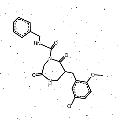 COc1ccc(Cl)cc1CC1CNC(=O)CN(C(=O)NCc2ccccc2)C1=O